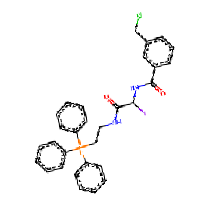 O=C(NC(I)C(=O)NCC[PH](c1ccccc1)(c1ccccc1)c1ccccc1)c1cccc(CCl)c1